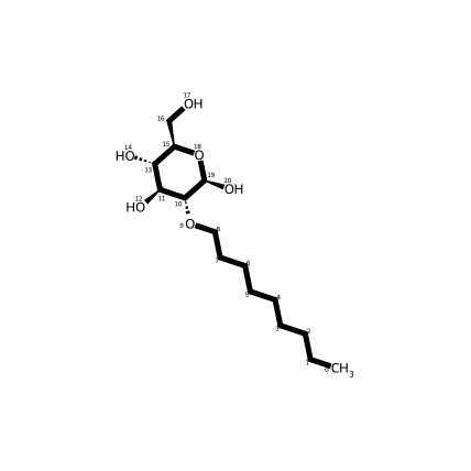 CCCCCCCCCO[C@@H]1[C@@H](O)[C@H](O)[C@@H](CO)O[C@H]1O